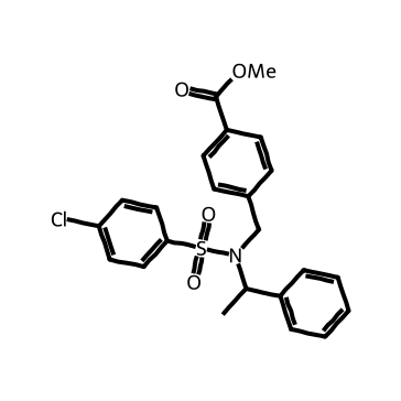 COC(=O)c1ccc(CN(C(C)c2ccccc2)S(=O)(=O)c2ccc(Cl)cc2)cc1